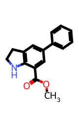 COC(=O)c1cc(-c2ccccc2)cc2c1NCC2